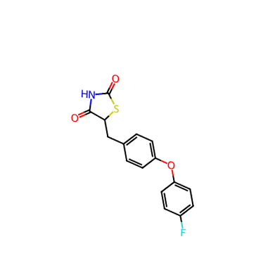 O=C1NC(=O)C(Cc2ccc(Oc3ccc(F)cc3)cc2)S1